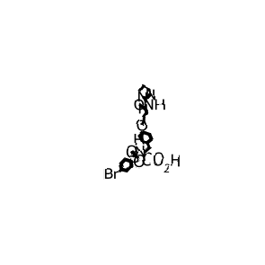 O=C(CCCOc1ccc(C[C@H](NS(=O)(=O)c2ccc(Br)cc2)C(=O)O)cc1)NC1=NCCCN1